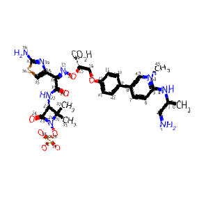 CC(CN)Nc1ccc(-c2ccc(OC[C@H](O/N=C(\C(=O)N[C@@H]3C(=O)N(OS(=O)(=O)[O-])C3(C)C)c3csc(N)n3)C(=O)O)cc2)c[n+]1C